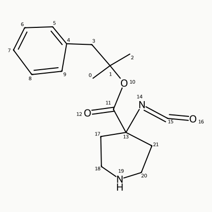 CC(C)(Cc1ccccc1)OC(=O)C1(N=C=O)CCNCC1